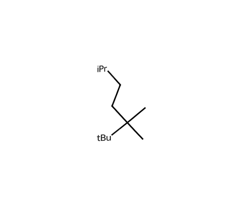 CC(C)CCC(C)(C)C(C)(C)C